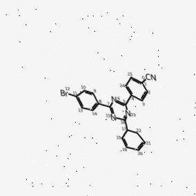 N#Cc1ccc(-c2nc(-c3ccc(Br)cc3)nc(C3C=CC=CC3)n2)cc1